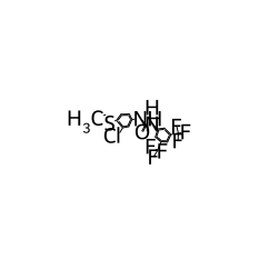 CCSc1ccc(NC(=O)Nc2cc(C(F)(F)F)cc(C(F)(F)F)c2)cc1Cl